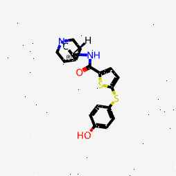 O=C(N[C@H]1CN2CCC1CC2)c1ccc(Sc2ccc(O)cc2)s1